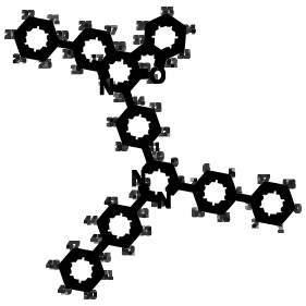 c1ccc(-c2ccc(-c3cc(-c4ccc(-c5nc6cc(-c7ccccc7)ccc6c6c5oc5ccccc56)cc4)nc(-c4ccc(-c5ccccc5)cc4)n3)cc2)cc1